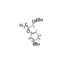 CC(COC(C)(C)C)Oc1cccc(C(C)(C)C)c1